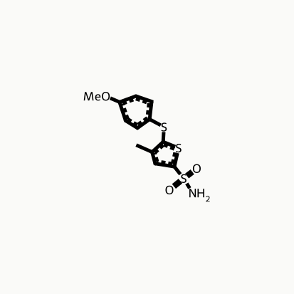 COc1ccc(Sc2sc(S(N)(=O)=O)cc2C)cc1